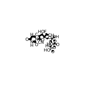 C=C(F)[C@]1(COP(=O)(O)OP(=O)(O)OP(=O)(O)O)O[C@@](C#N)(n2ccc(=O)[nH]c2=O)[C@H](C)[C@@H]1O